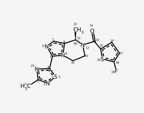 Cc1nsc(-c2ncc3n2CCN(C(=O)c2ccc(F)s2)[C@@H]3C)n1